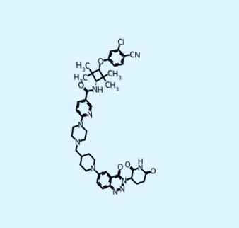 CC1(C)[C@H](NC(=O)c2ccc(N3CCN(CC4CCN(c5ccc6nnn(C7CCC(=O)NC7=O)c(=O)c6c5)CC4)CC3)nc2)C(C)(C)[C@H]1Oc1ccc(C#N)c(Cl)c1